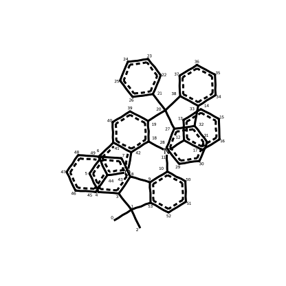 CC1(C)c2ccccc2-c2c(N(c3ccccc3)c3c(C4(c5ccccc5)c5ccccc5-c5ccccc54)ccc4c3oc3ccccc34)cccc21